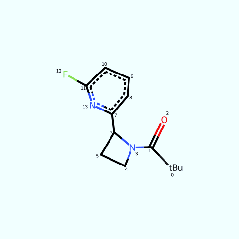 CC(C)(C)C(=O)N1CCC1c1cccc(F)n1